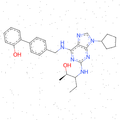 CCC(Nc1nc(NCc2ccc(-c3ccccc3O)cc2)c2ncn(C3CCCC3)c2n1)[C@@H](C)O